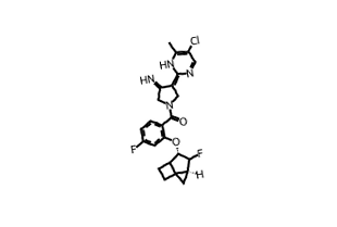 CC1=C(Cl)C=N/C(=C2\CN(C(=O)c3ccc(F)cc3O[C@@H]3C(F)[C@H]4CC45CCC35)CC2=N)N1